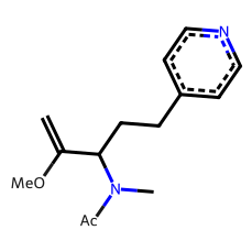 C=C(OC)C(CCc1ccncc1)N(C)C(C)=O